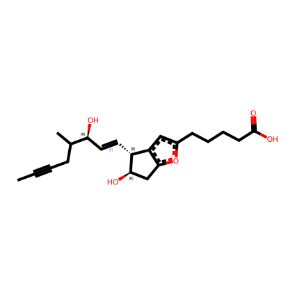 CC#CCC(C)[C@@H](O)/C=C/[C@@H]1c2cc(CCCCC(=O)O)oc2C[C@H]1O